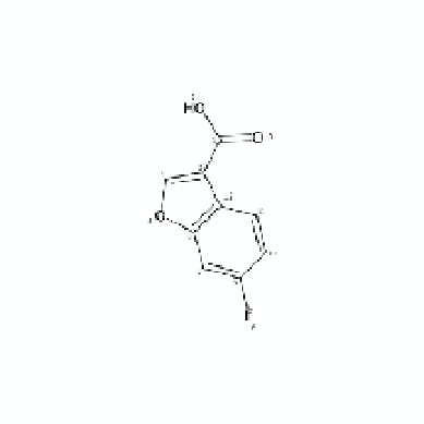 O=C(O)c1coc2cc(F)ccc12